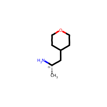 C[C@H](N)CC1CCOCC1